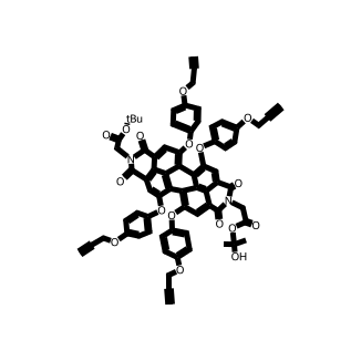 C#CCOc1ccc(Oc2cc3c4c(cc(Oc5ccc(OCC#C)cc5)c5c6c(Oc7ccc(OCC#C)cc7)cc7c8c(cc(Oc9ccc(OCC#C)cc9)c(c2c45)c86)C(=O)N(CC(=O)OC(C)(C)O)C7=O)C(=O)N(CC(=O)OC(C)(C)C)C3=O)cc1